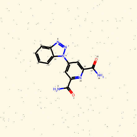 NC(=O)c1cc(-n2nnc3ccccc32)cc(C(N)=O)n1